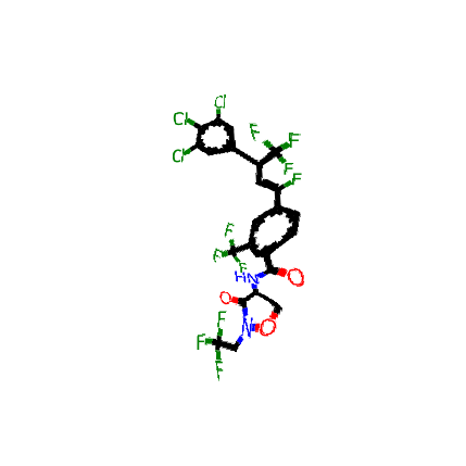 O=C(NC1CON(CC(F)(F)F)C1=O)c1ccc(/C(F)=C/C(c2cc(Cl)c(Cl)c(Cl)c2)C(F)(F)F)cc1C(F)(F)F